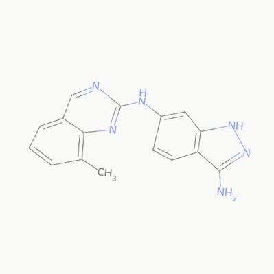 Cc1cccc2cnc(Nc3ccc4c(N)n[nH]c4c3)nc12